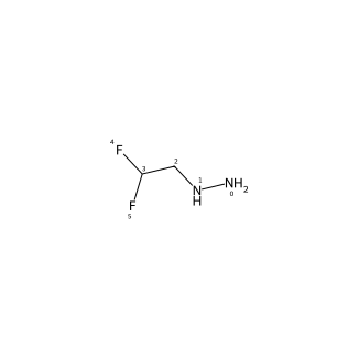 NNCC(F)F